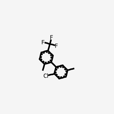 Cc1ccc(Cl)c(-c2cc(C(F)(F)F)ccc2C)c1